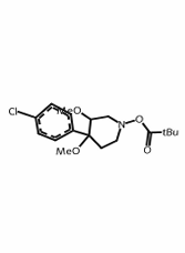 COC1CN(OC(=O)C(C)(C)C)CCC1(OC)c1ccc(Cl)cc1